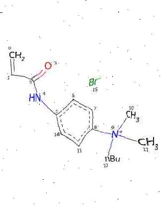 C=CC(=O)Nc1ccc([N+](C)(C)CCCC)cc1.[Br-]